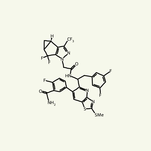 CSc1nc2nc(C(Cc3cc(F)cc(F)c3)NC(=O)Cn3nc(C(F)(F)F)c4c3C(F)(F)C3C[C@H]43)c(-c3ccc(F)c(C(N)=O)c3)cc2s1